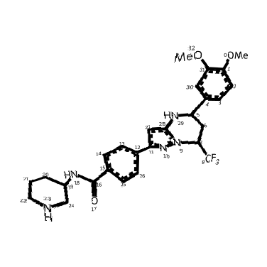 COc1ccc(C2CC(C(F)(F)F)n3nc(-c4ccc(C(=O)NC5CCCNC5)cc4)cc3N2)cc1OC